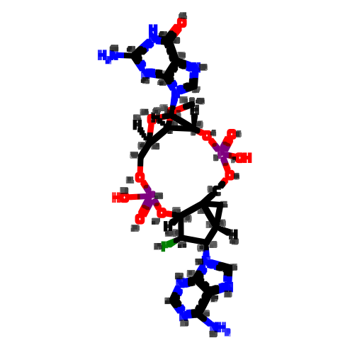 CO[C@H]1[C@H]2OP(=O)(O)OCC34C[C@@H]3[C@@H](n3cnc5c(N)ncnc53)[C@@H](F)[C@@H]4OP(=O)(O)OC[C@H]1O[C@H]2n1cnc2c(=O)[nH]c(N)nc21